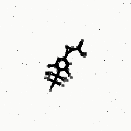 CC(C)(c1c(F)cc(C2CC2C(=O)O)cc1F)C(F)(F)F